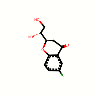 O=C1C[C@H]([C@H](O)CO)Oc2ccc(F)cc21